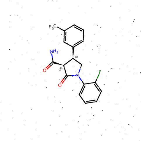 NC(=O)[C@@H]1C(=O)N(c2ccccc2F)C[C@@H]1c1cccc(C(F)(F)F)c1